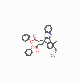 CC/C=C\c1ccc2c(c1C)-c1nc3ccccc3cc1C2(CCC(=O)Oc1ccccc1)CCC(=O)Oc1ccccc1